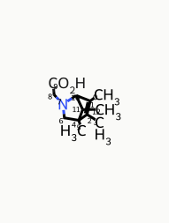 CC1=C(C)C2(C)CN(CC(=O)O)C1C2C